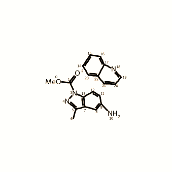 COC(=O)n1nc(C)c2cc(N)ccc21.c1ccc2ncccc2c1